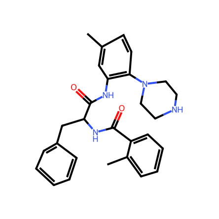 Cc1ccc(N2CCNCC2)c(NC(=O)C(Cc2ccccc2)NC(=O)c2ccccc2C)c1